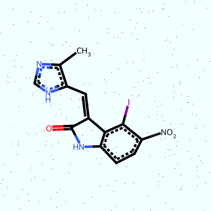 Cc1nc[nH]c1C=C1C(=O)Nc2ccc([N+](=O)[O-])c(I)c21